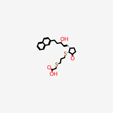 O=C(O)CSCCCS[C@H]1C(=O)CC[C@H]1C=C[C@@H](O)CCc1ccc2ccccc2c1